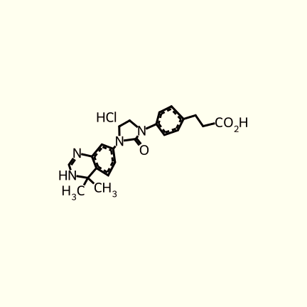 CC1(C)NC=Nc2cc(N3CCN(c4ccc(CCC(=O)O)cc4)C3=O)ccc21.Cl